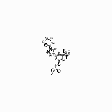 COC(=O)CSc1cc(-c2cnn(C3CCCCO3)c2)nc(C(F)(F)F)c1